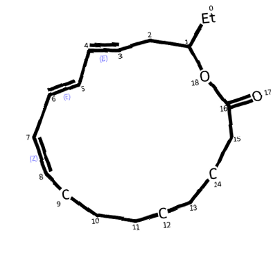 CCC1C/C=C/C=C/C=C\CCCCCCCC(=O)O1